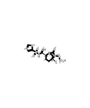 N=C(NS(=O)(=O)c1cnco1)[C@@H]1CC[C@@H]2CN1C(=O)N2OS(=O)(=O)O